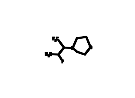 CC(F)C(N1CCOCC1)C(F)(F)F